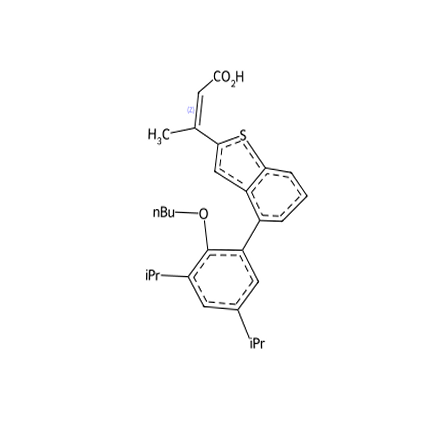 CCCCOc1c(-c2cccc3sc(/C(C)=C\C(=O)O)cc23)cc(C(C)C)cc1C(C)C